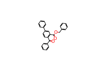 O=C(OCc1ccccc1)c1cc(-c2ccccc2)ccc1C(=O)c1ccccc1